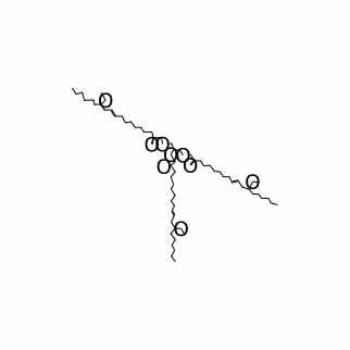 CCCCCCC(C/C=C/CCCCCCCC(=O)COCC(COCC(=O)CCCCCCC/C=C/CC(CCCCCC)OC)OCC(=O)CCCCCCC/C=C/CC(CCCCCC)OC)OC